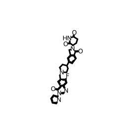 O=C1CCC(N2Cc3cc(C4CCN(Cc5cc6c(=O)n(-c7ccccn7)cnc6cc5F)CC4)ccc3C2=O)C(=O)N1